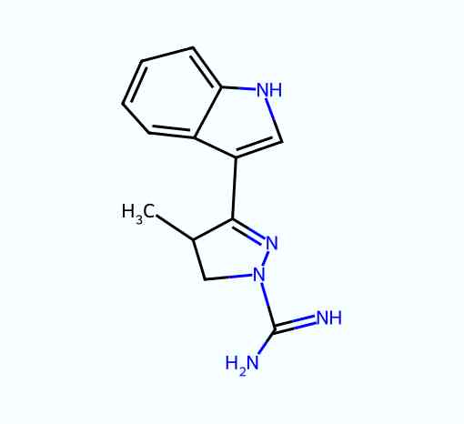 CC1CN(C(=N)N)N=C1c1c[nH]c2ccccc12